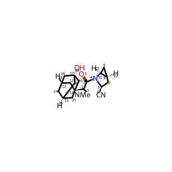 CNC(C(=O)N1[C@H](C#N)C[C@@H]2C[C@@H]21)[C@@]12C[C@@H]3C[C@@H](C[C@@](O)(C3)C1)C2